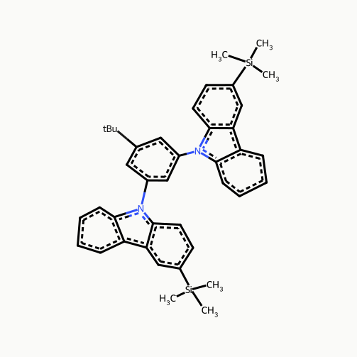 CC(C)(C)c1cc(-n2c3ccccc3c3cc([Si](C)(C)C)ccc32)cc(-n2c3ccccc3c3cc([Si](C)(C)C)ccc32)c1